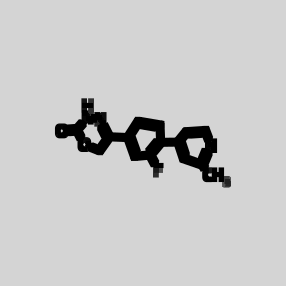 Cc1cc(-c2ccc(C3=NNC(=O)OC3)cc2F)ccn1